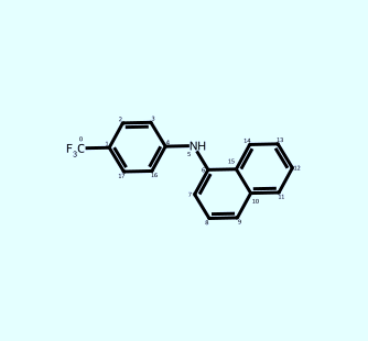 FC(F)(F)c1ccc(Nc2cccc3ccccc23)cc1